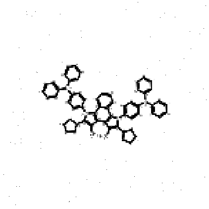 Cc1c(C2CCCC2)n(-c2ccc(N(c3ccccc3)c3ccccc3)cc2)c2c3ccccc3c3c(c(C)c(C4CCCC4)n3-c3ccc(N(c4ccccc4)c4ccccc4)cc3)c12